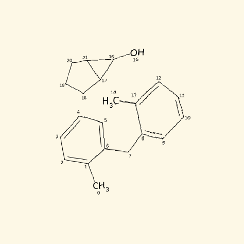 Cc1ccccc1Cc1ccccc1C.OC1C2CCCC12